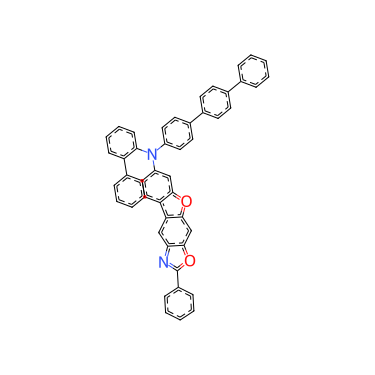 c1ccc(-c2ccc(-c3ccc(N(c4ccc5c(c4)oc4cc6oc(-c7ccccc7)nc6cc45)c4ccccc4-c4ccccc4)cc3)cc2)cc1